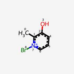 Cc1c(O)ccc[n+]1Br